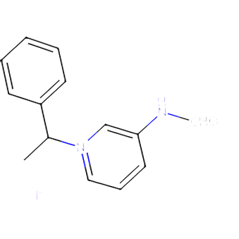 CC(c1ccccc1)[n+]1cccc(NC=O)c1.[I-]